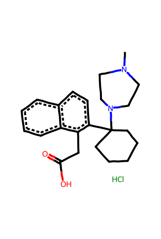 CN1CCN(C2(c3ccc4ccccc4c3CC(=O)O)CCCCC2)CC1.Cl